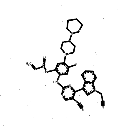 C=CC(=O)Nc1cc(N2CCC(N3CCCCC3)CC2)c(F)cc1Nc1ncc(C#N)c(-c2cn(CC#N)c3ccccc23)n1